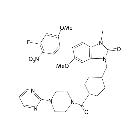 COc1ccc([N+](=O)[O-])c(F)c1.COc1ccc2c(c1)n(CC1CCC(C(=O)N3CCN(c4ncccn4)CC3)CC1)c(=O)n2C